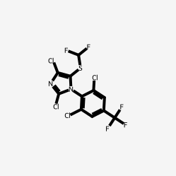 FC(F)Sc1c(Cl)nc(Cl)n1-c1c(Cl)cc(C(F)(F)F)cc1Cl